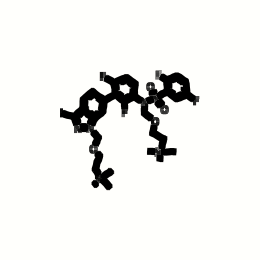 C[Si](C)(C)CCOCN(c1ccc(F)c(-c2ccc3c(I)nn(COCC[Si](C)(C)C)c3c2)c1F)S(=O)(=O)c1cc(F)ccc1F